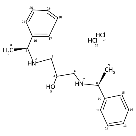 C[C@H](NCC(O)CN[C@@H](C)c1ccccc1)c1ccccc1.Cl.Cl